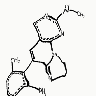 CNc1ncc2c(n1)N1CCN=C1C(c1c(C)cccc1P)=C2